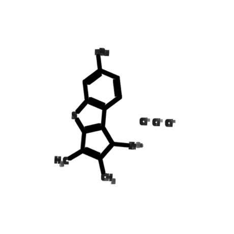 CCCCc1ccc2c3c(sc2c1)C(C)=C(C)[CH]3[Zr+3].[Cl-].[Cl-].[Cl-]